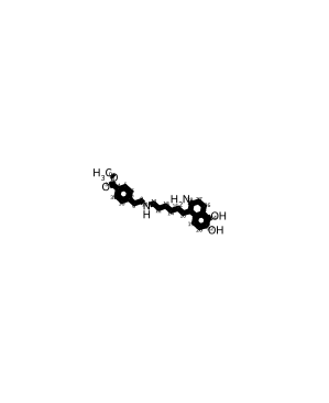 COC(=O)c1ccc(CCNCCCCCCC2c3ccc(O)c(O)c3CCC2N)cc1